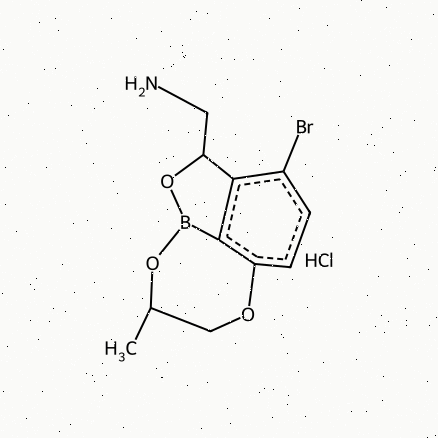 CC1COc2ccc(Br)c3c2B(O1)OC3CN.Cl